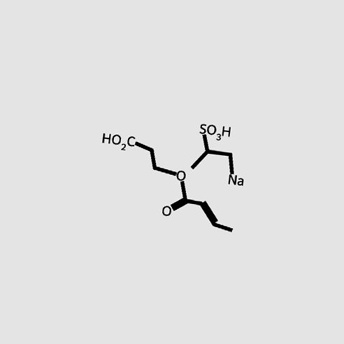 CC([CH2][Na])S(=O)(=O)O.CC=CC(=O)OCCC(=O)O